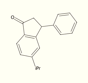 CC(C)c1ccc2c(c1)C(c1ccccc1)CC2=O